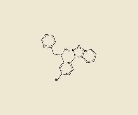 NC(Cc1ccccn1)c1cc(Br)ccc1-c1noc2ccccc12